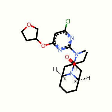 CCC(=O)N1[C@@H]2CCC[C@H]1C[C@@H](N(C)c1nc(Cl)cc(OC3CCOC3)n1)C2